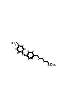 CCCCCCCCCCCCCCCc1ccc(Oc2ccc(S(=O)(=O)O)cc2)cc1